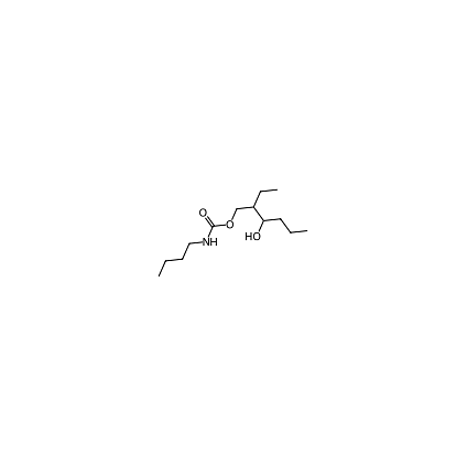 CCCCNC(=O)OCC(CC)C(O)CCC